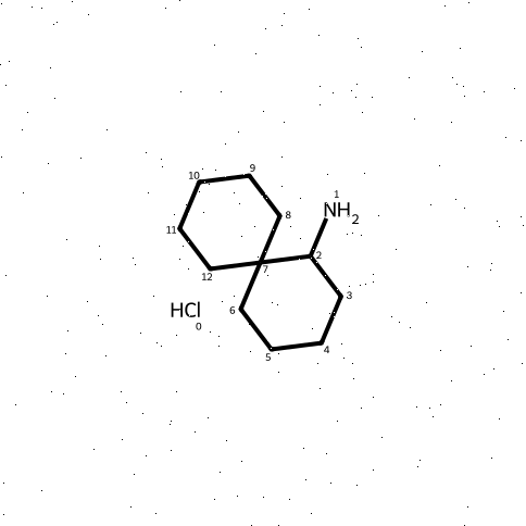 Cl.NC1CCCCC12CCCCC2